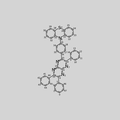 c1ccc(-c2nc3nc(-c4ccccc4)c(-c4ccc(N5c6ccccc6Sc6ccccc65)cc4)nc3nc2-c2ccccc2)cc1